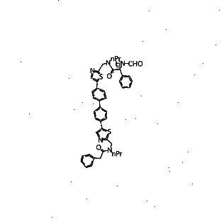 CCCN(Cc1ncc(-c2ccc(-c3ccc(-c4cnc(CN(CCC)C(=O)[C@@H](NC=O)c5ccccc5)s4)cc3)cc2)s1)C(=O)Cc1ccccc1